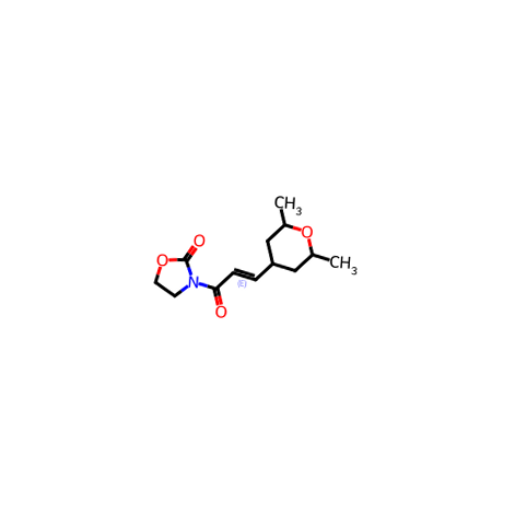 CC1CC(/C=C/C(=O)N2CCOC2=O)CC(C)O1